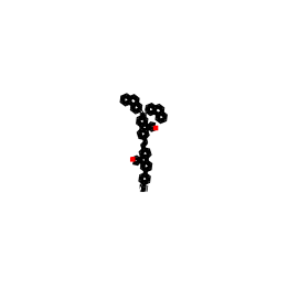 CCC1(CC)c2cc(/C=C/c3ccc4c(c3)C(CC)(CC)c3cc(N(c5ccc6c(ccc7ccccc76)c5)c5ccc6ccc7ccccc7c6c5)ccc3-4)ccc2-c2ccc(-c3ccc([Si](C)(C)C)cc3)cc21